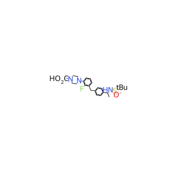 CC(N[S@@+]([O-])C(C)(C)C)c1ccc(Cc2cccc(N3CCN(C(=O)O)CC3)c2F)cc1